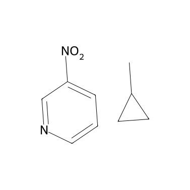 CC1CC1.O=[N+]([O-])c1cccnc1